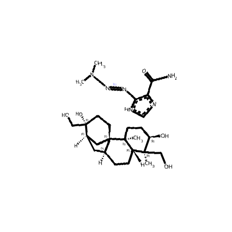 CN(C)/N=N/c1[nH]cnc1C(N)=O.C[C@@]1(CO)[C@H](O)CC[C@@]2(C)[C@H]1CC[C@H]1C[C@@H]3C[C@@]12CC[C@]3(O)CO